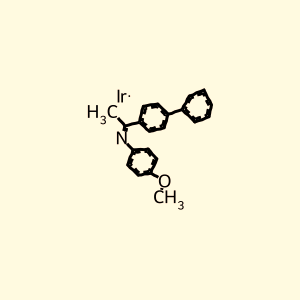 COc1ccc(N=C(C)c2ccc(-c3ccccc3)cc2)cc1.[Ir]